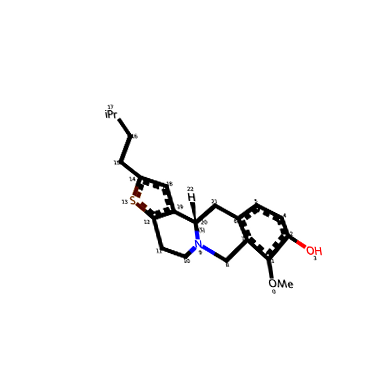 COc1c(O)ccc2c1CN1CCc3sc(CCC(C)C)cc3[C@@H]1C2